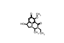 CCN1C(=O)c2c(OC)c(=O)cc3n2N(CC3O)C1C